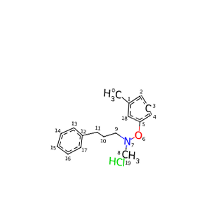 Cc1cccc(ON(C)CCCc2ccccc2)c1.Cl